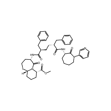 COC(=O)[C@@H]1CCC[C@@H]2SCC[C@H](NC(=O)[C@H](CC[C@H](Cc3ccccc3)C(=O)N[C@H]3CCCCN(c4cccnc4)C3=O)Cc3ccccc3)C(=O)N21